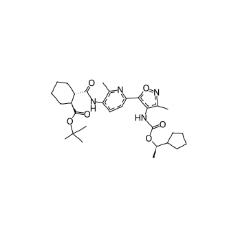 Cc1nc(-c2onc(C)c2NC(=O)O[C@H](C)C2CCCC2)ccc1NC(=O)[C@H]1CCCC[C@@H]1C(=O)OC(C)(C)C